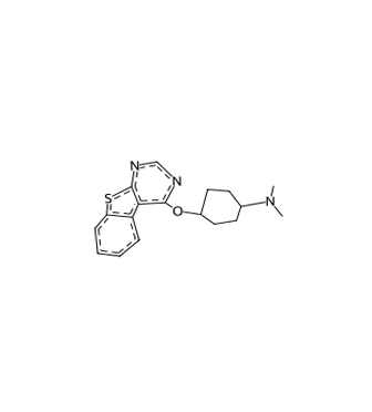 CN(C)C1CCC(Oc2ncnc3sc4ccccc4c23)CC1